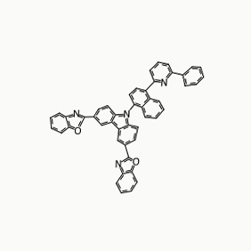 c1ccc(-c2cccc(-c3ccc(-n4c5ccc(-c6nc7ccccc7o6)cc5c5cc(-c6nc7ccccc7o6)ccc54)c4ccccc34)n2)cc1